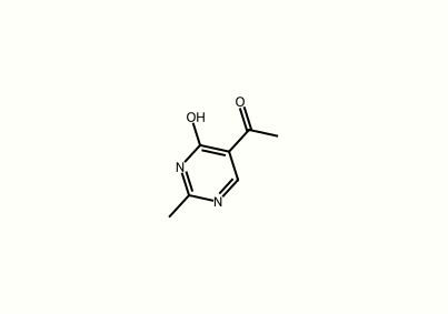 CC(=O)c1cnc(C)nc1O